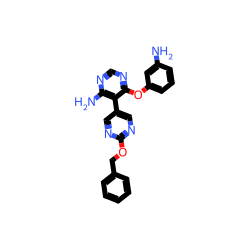 Nc1cccc(Oc2ncnc(N)c2-c2cnc(OCc3ccccc3)nc2)c1